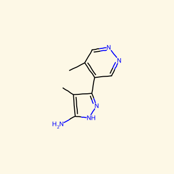 Cc1cnncc1-c1n[nH]c(N)c1C